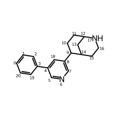 c1ccc(-c2cncc(C3CCC4CC3CCN4)c2)cc1